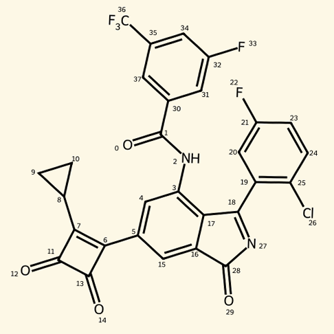 O=C(Nc1cc(-c2c(C3CC3)c(=O)c2=O)cc2c1C(c1cc(F)ccc1Cl)=NC2=O)c1cc(F)cc(C(F)(F)F)c1